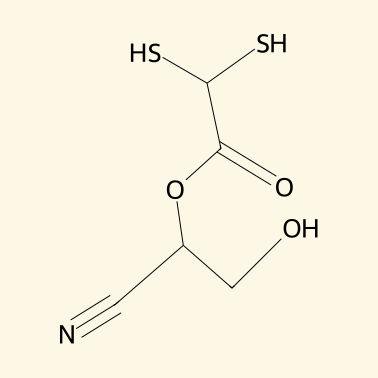 N#CC(CO)OC(=O)C(S)S